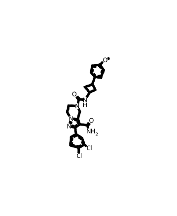 COc1ccc(C2CC(NC(=O)N3CCn4nc(-c5ccc(Cl)c(Cl)c5)c(C(N)=O)c4C3)C2)cc1